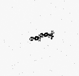 CCC(C)[C@@H](N)C(=O)Nc1ccc(-c2ccnc(Nc3ccc(N4CCOCC4)cc3)n2)cc1